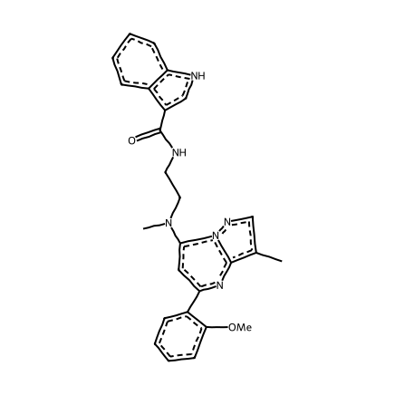 COc1ccccc1-c1cc(N(C)CCNC(=O)c2c[nH]c3ccccc23)n2ncc(C)c2n1